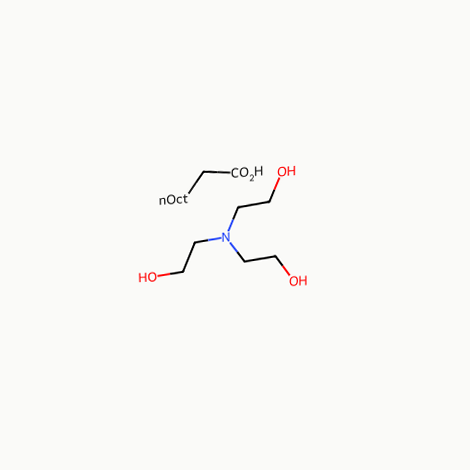 CCCCCCCCCC(=O)O.OCCN(CCO)CCO